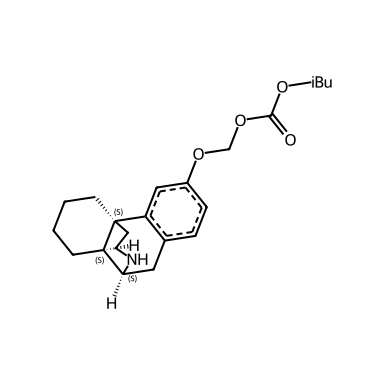 CCC(C)OC(=O)OCOc1ccc2c(c1)[C@]13CCCC[C@@H]1[C@H](C2)NCC3